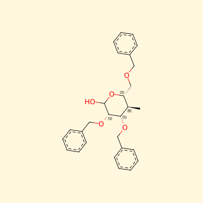 C[C@H]1[C@H](OCc2ccccc2)[C@H](OCc2ccccc2)C(O)O[C@@H]1COCc1ccccc1